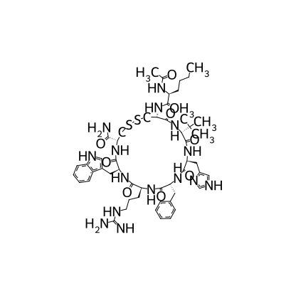 CCCC[C@H](NC(C)=O)C(=O)N[C@H]1CSSC[C@@H](C(N)=O)NC(=O)[C@H](Cc2c[nH]c3ccccc23)NC(=O)[C@H](CCCNC(=N)N)NC(=O)[C@@H](Cc2ccccc2)NC(=O)[C@H](Cc2c[nH]cn2)NC(=O)[C@@H](C(C)(C)C)NC1=O